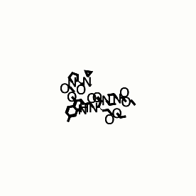 CCOC(=O)CC[C@H](NC(=O)c1cc(OCC(=O)N2CCC[C@H]2C(=O)N(C)C2CC2)c2ccc(C)cc2n1)C(=O)N1CCN(C(=O)OCC)CC1